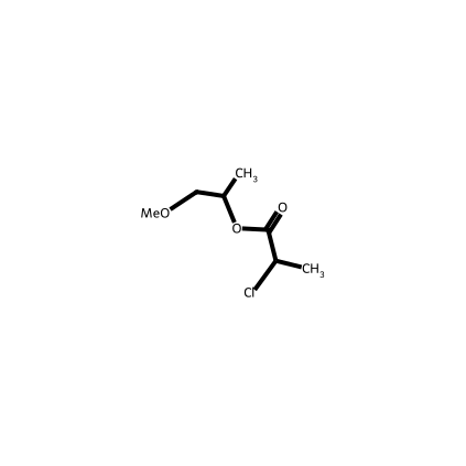 COCC(C)OC(=O)C(C)Cl